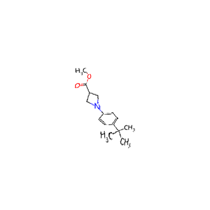 COC(=O)C1CN(c2ccc(C(C)(C)C)cc2)C1